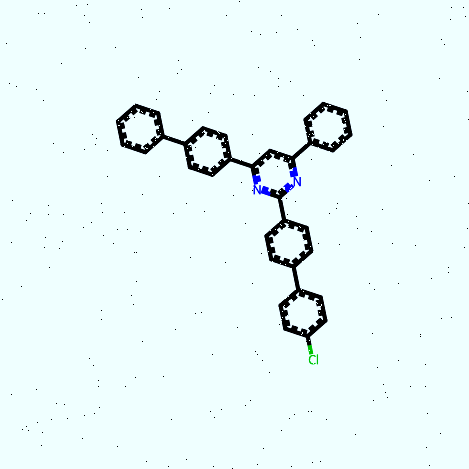 Clc1ccc(-c2ccc(-c3nc(-c4ccccc4)cc(-c4ccc(-c5ccccc5)cc4)n3)cc2)cc1